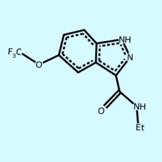 CCNC(=O)c1n[nH]c2ccc(OC(F)(F)F)cc12